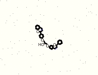 O=C(/C=C\c1ccc(OC[C@H](O)COc2ccc(C(=O)/C=C\c3ccccc3)cc2)cc1)c1ccccc1